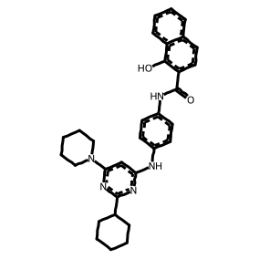 O=C(Nc1ccc(Nc2cc(N3CCCCC3)nc(C3CCCCC3)n2)cc1)c1ccc2ccccc2c1O